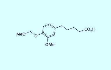 COCOc1ccc(CCCCC(=O)O)cc1OC